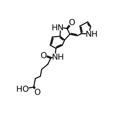 O=C(O)CCCCC(=O)Nc1ccc2c(c1)/C(=C/c1ccc[nH]1)C(=O)N2